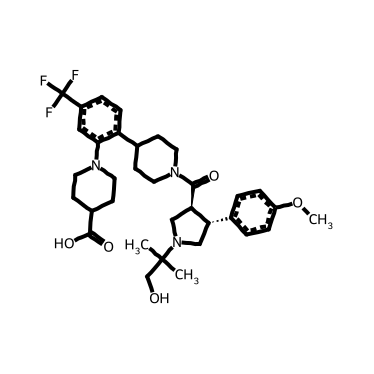 COc1ccc([C@@H]2CN(C(C)(C)CO)C[C@H]2C(=O)N2CCC(c3ccc(C(F)(F)F)cc3N3CCC(C(=O)O)CC3)CC2)cc1